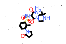 Cc1c(N2CCCC2=O)cccc1S(=O)(=O)N[C@@H](C(N)=O)C(=O)N1CCNC(C)(C)C1